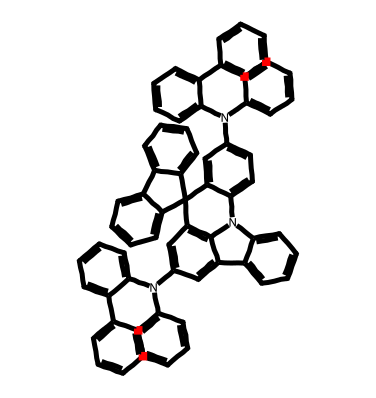 c1ccc(-c2ccccc2N(c2ccccc2)c2ccc3c(c2)C2(c4ccccc4-c4ccccc42)c2cc(N(c4ccccc4)c4ccccc4-c4ccccc4)cc4c5ccccc5n-3c24)cc1